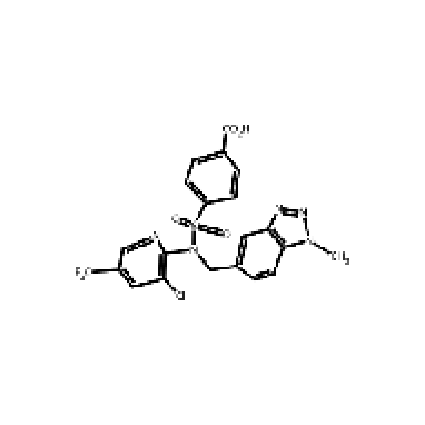 Cn1nnc2cc(CN(c3ncc(C(F)(F)F)cc3Cl)S(=O)(=O)c3ccc(C(=O)O)cc3)ccc21